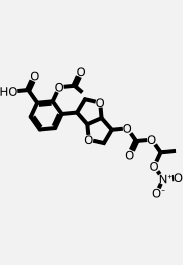 CC(=O)Oc1c(C(=O)O)cccc1C1COC2C(OC(=O)OC(C)O[N+](=O)[O-])COC12